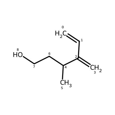 C=CC(=C)C(C)CCO